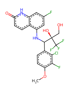 COc1ccc(C(Nc2cc(F)cc3[nH]c(=O)ccc23)[C@](O)(CO)C(F)(F)F)c(Cl)c1F